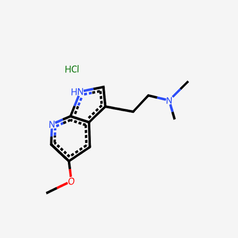 COc1cnc2[nH]cc(CCN(C)C)c2c1.Cl